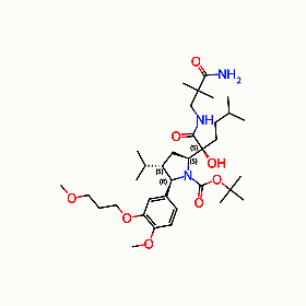 COCCCOc1cc([C@H]2[C@H](C(C)C)C[C@@H]([C@@](O)(CCC(C)C)C(=O)NCC(C)(C)C(N)=O)N2C(=O)OC(C)(C)C)ccc1OC